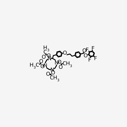 CC(=O)ON1CCN(OC(C)=O)CCN(OC(C)=O)C(Cc2ccc(OCCCc3ccc(C(=O)Oc4c(F)c(F)cc(F)c4F)cc3)cc2)CN(OC(C)=O)CC1